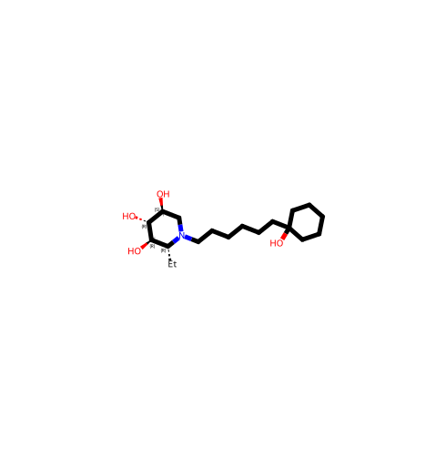 CC[C@@H]1[C@@H](O)[C@H](O)[C@@H](O)CN1CCCCCCC1(O)CCCCC1